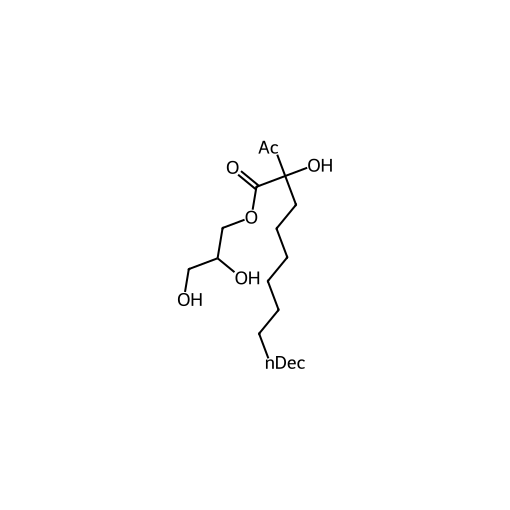 CCCCCCCCCCCCCCCCC(O)(C(C)=O)C(=O)OCC(O)CO